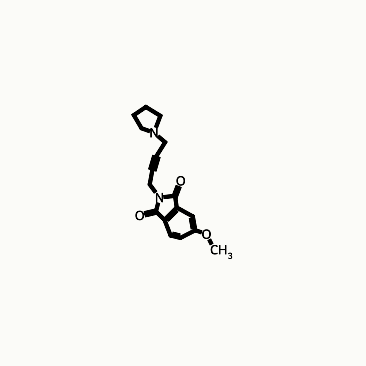 COc1ccc2c(c1)C(=O)N(CC#CCN1CCCC1)C2=O